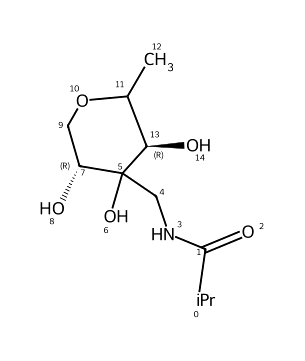 CC(C)C(=O)NCC1(O)[C@H](O)COC(C)[C@H]1O